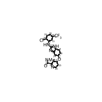 CNC(=O)c1cc(Oc2ccc3[nH]c(Nc4cc(C(F)(F)F)ccc4Cl)nc3c2)ccn1